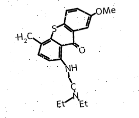 [CH2]c1ccc(NCCN(CC)CC)c2c(=O)c3cc(OC)ccc3sc12